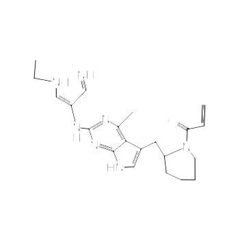 C=CC(=O)N1CCCCC1Cc1c[nH]c2nc(N/C(C=N)=C/NCC)nc(C)c12